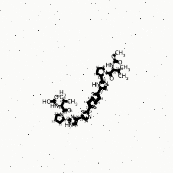 COC(=O)N[C@H](C(=O)N1CCCC1c1ncc(-c2cc3sc(-c4ncc(-c5c[nH]c([C@@H]6CCCN6C(=O)[C@@H](NC(=O)O)C(C)C)n5)s4)cc3s2)[nH]1)C(C)C